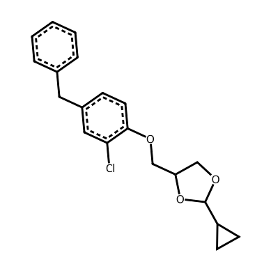 Clc1cc(Cc2ccccc2)ccc1OCC1COC(C2CC2)O1